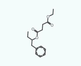 CCOC(=O)CCC(=O)OC(CC)Cc1ccccc1